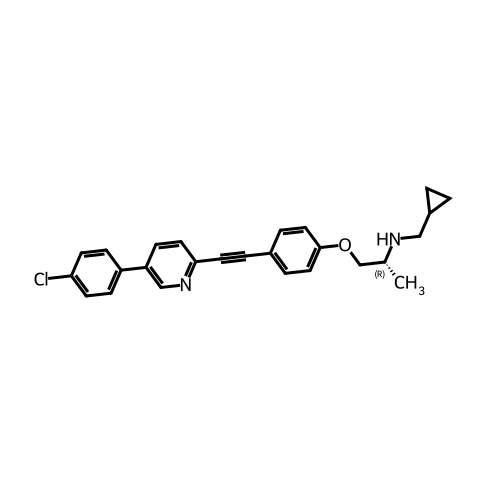 C[C@H](COc1ccc(C#Cc2ccc(-c3ccc(Cl)cc3)cn2)cc1)NCC1CC1